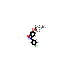 CCOC(=O)C(CC)Oc1ccc2c(-c3ccc(Cl)cc3)noc2c1